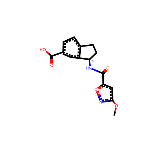 COc1cc(C(=O)N[C@@H]2CCc3ccc(C(=O)O)cc32)on1